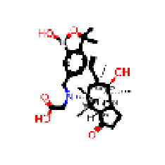 C=C[C@]1(C)C[C@@H](N(CC(=O)O)Cc2ccc3c(c2)B(O)OC3(C)C)[C@]2(C)[C@H](C)CC[C@]3(CCC(=O)[C@H]32)[C@@H](C)[C@@H]1O